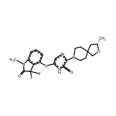 C[C@H]1CC2(CCN(c3ncc(Sc4cccc5c4C(F)(F)C(=O)N5C)[nH]c3=O)CC2)CO1